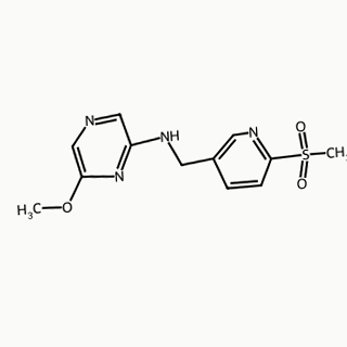 COc1cncc(NCc2ccc(S(C)(=O)=O)nc2)n1